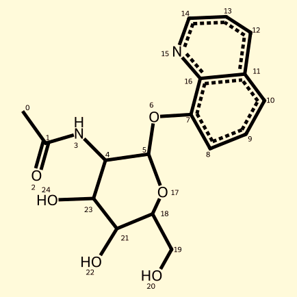 CC(=O)NC1C(Oc2cccc3cccnc23)OC(CO)C(O)C1O